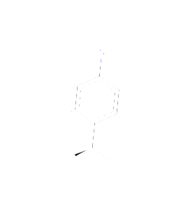 C[C@@H](C(=O)O)c1ccc(N)cc1